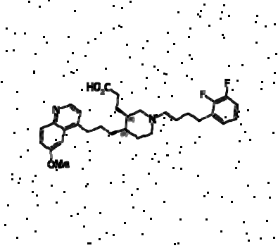 COc1ccc2nccc(CCC[C@@H]3CCN(CCCCc4cccc(F)c4F)C[C@@H]3CCC(=O)O)c2c1